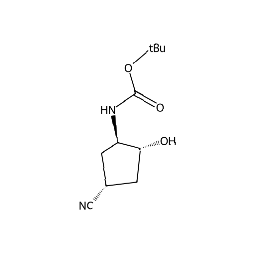 CC(C)(C)OC(=O)N[C@@H]1C[C@@H](C#N)C[C@H]1O